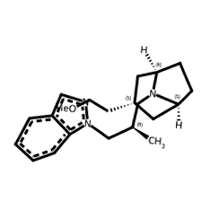 COCC[C@@H]1C[C@H]2CC[C@@H](C1)N2C[C@@H](C)Cn1ncc2ccccc21